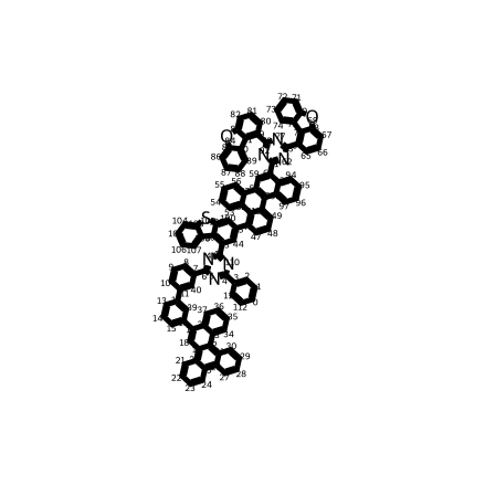 c1ccc(-c2nc(-c3cccc(-c4cccc(-c5cc6c7ccccc7c7ccccc7c6c6ccccc56)c4)c3)nc(-c3cc(-c4cccc5c4c4ccccc4c4cc(-c6nc(-c7cccc8oc9ccccc9c78)nc(-c7cccc8oc9ccccc9c78)n6)c6ccccc6c45)cc4sc5ccccc5c34)n2)cc1